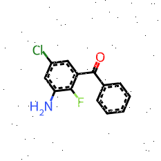 Nc1cc(Cl)cc(C(=O)c2ccccc2)c1F